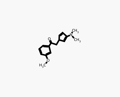 COc1cccc(C(=O)CC2C=CC(N(C)C)=C2)c1